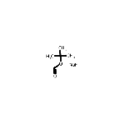 CC(C)(C)OC=O.[NaH]